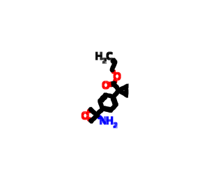 C=CCOC(=O)C1(c2ccc(C3(N)COC3)cc2)CC1